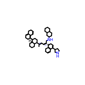 C/C(=C\C=C(/CNC1CCC2CCCCC2C1)[C@@H]1CC=C(C2CCNC2)C2=C1CCC=C2)C1CCC(C2=C3C=CCCC3=CCC2)[C@H]2CCCCC12